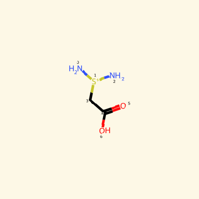 N[S+](N)CC(=O)O